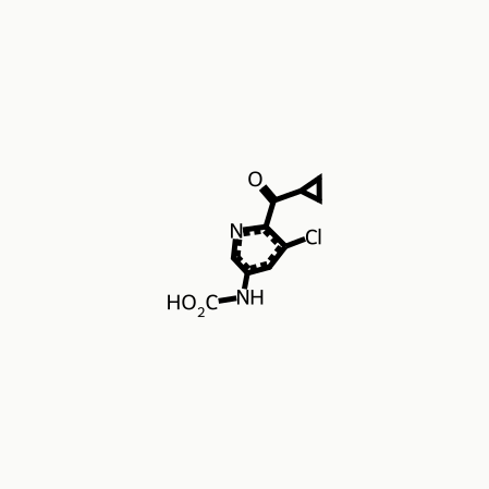 O=C(O)Nc1cnc(C(=O)C2CC2)c(Cl)c1